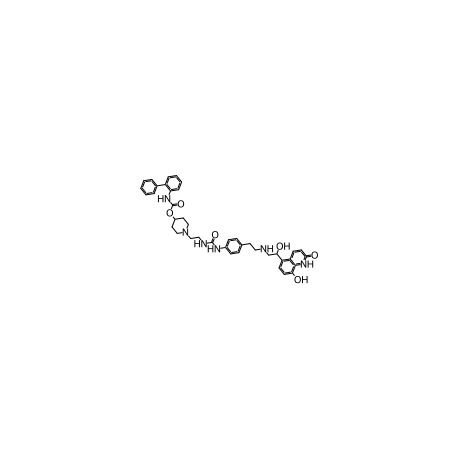 O=C(NCCN1CCC(OC(=O)Nc2ccccc2-c2ccccc2)CC1)Nc1ccc(CCNCC(O)c2ccc(O)c3[nH]c(=O)ccc23)cc1